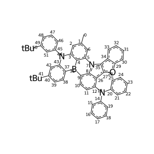 Cc1cc2c3c(c1)-n1c4c(ccc(N(c5ccccc5)c5ccccc5)c4c4oc5ccccc5c41)B3c1ccc(C(C)(C)C)cc1N2c1cccc(C(C)(C)C)c1